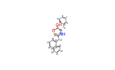 O=C(O)[C@H](Cc1ccccc1)NC(=S)Cc1cccc2ccccc12